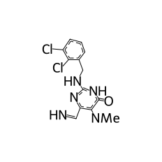 CNc1c(C=N)nc(NCc2cccc(Cl)c2Cl)[nH]c1=O